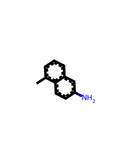 Cc1cccc2cc(N)ccc12